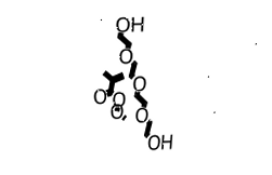 C=C(C)C(=O)OOC.OCCOCCOCCOCCO